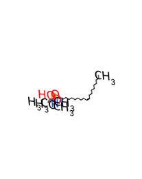 CCCCCCCCC/C=C\CCCCCCCCCOP(=O)(O)C(CCC)[N+](C)(C)C